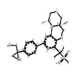 C[C@@H]1COC[C@H]2COc3c(nc(-c4ccc(C5(CO)CN5)cc4)nc3C(C)(C)S(C)(=O)=O)N21